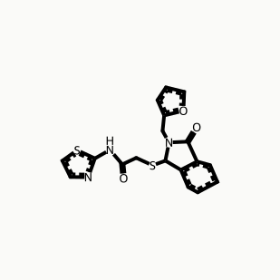 O=C(CSC1c2ccccc2C(=O)N1Cc1ccco1)Nc1nccs1